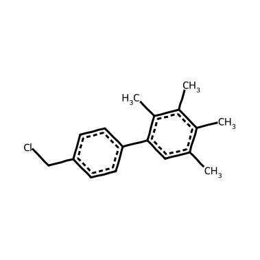 Cc1cc(-c2ccc(CCl)cc2)c(C)c(C)c1C